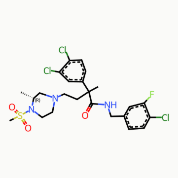 C[C@@H]1CN(CCC(C)(C(=O)NCc2ccc(Cl)c(F)c2)c2ccc(Cl)c(Cl)c2)CCN1S(C)(=O)=O